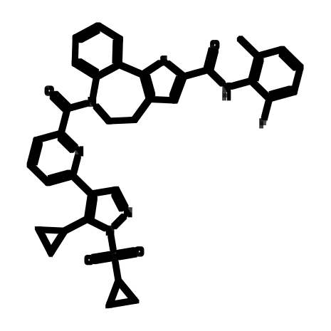 Cc1cccc(F)c1NC(=O)c1cc2c(s1)-c1ccccc1N(C(=O)c1cccc(-c3cnn(S(=O)(=O)C4CC4)c3C3CC3)n1)CC2